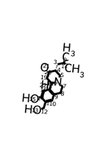 CC(C)C[C@@H]1CN2CCc3cc(CO)c(O)cc3[C@H]2CC1=O